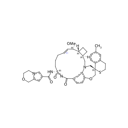 CO[C@H]1/C=C/CCC[S@@](=O)(NC(=O)c2cc3n(c2)CCOC3)=NC(=O)c2ccc3c(c2)N(C[C@@H]2CC[C@H]21)C[C@]1(CO3)SCCc2cc(C)ccc21